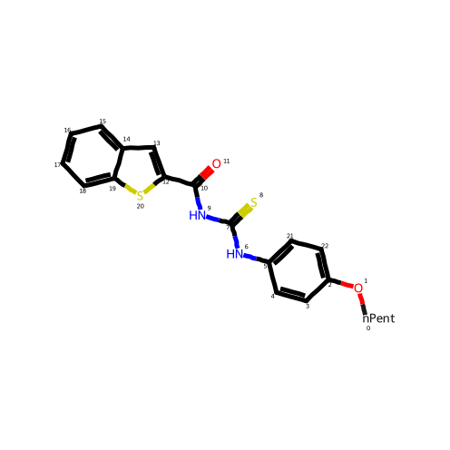 CCCCCOc1ccc(NC(=S)NC(=O)c2cc3ccccc3s2)cc1